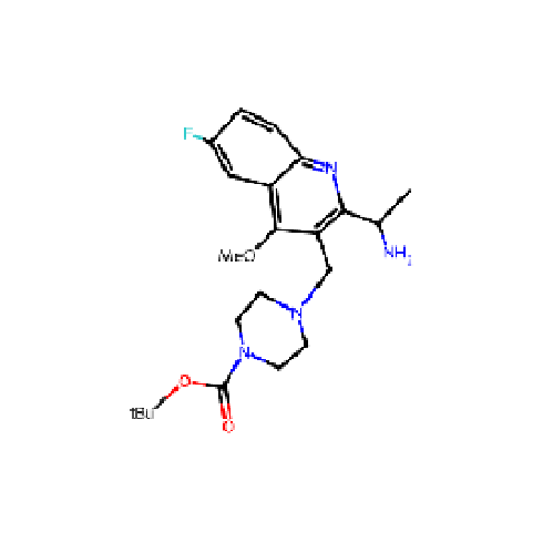 COc1c(CN2CCN(C(=O)OC(C)(C)C)CC2)c(C(C)N)nc2ccc(F)cc12